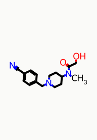 CN(C(=O)CO)C1CCN(Cc2ccc(C#N)cc2)CC1